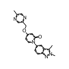 Cc1cnc(COc2ccn(-c3ccc4nn(C)c(C)c4c3)c(=O)c2)cn1